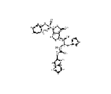 O=C(NC(Cc1cccs1)C(=O)N1CCC2C1C(=O)CN2S(=O)(=O)Cc1ccccn1)Oc1cc2sccc2s1